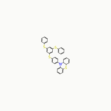 C1=CC2Sc3ccccc3N(c3ccc(Sc4cc(Sc5ccccc5)cc(Sc5ccccc5)c4)cc3)C2C=C1